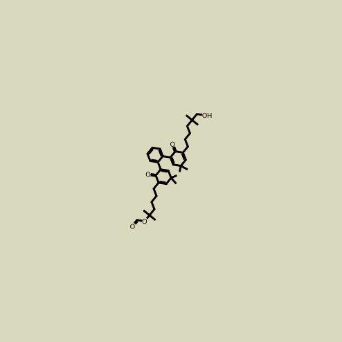 CC1(C)C=C(CCCCC(C)(C)CO)C(=O)C(c2ccccc2C2=CC(C)(C)C=C(CCCCC(C)(C)OC=O)C2=O)=C1